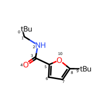 CC(C)(C)CNC(=O)c1ccc(C(C)(C)C)o1